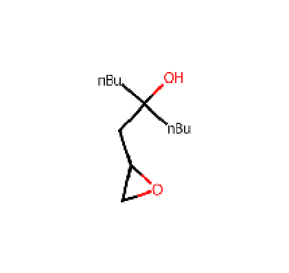 CCCCC(O)(CCCC)CC1CO1